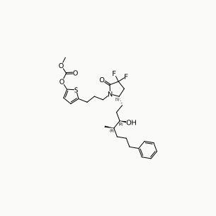 COC(=O)Oc1ccc(CCCN2C(=O)C(F)(F)C[C@@H]2CC[C@@H](O)[C@H](C)CCCc2ccccc2)s1